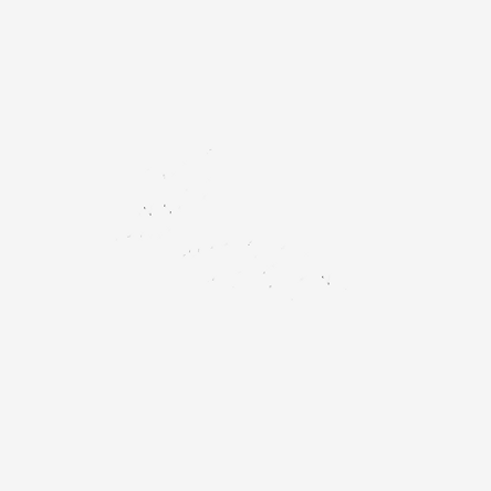 Nc1ccc(-c2ccc(OCc3cc(C(F)(F)F)nn3-c3ccccc3Cl)cc2)cc1